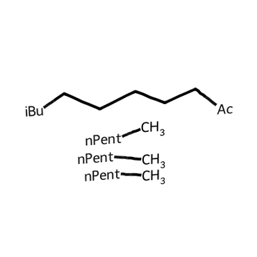 CCC(C)CCCCCC(C)=O.CCCCCC.CCCCCC.CCCCCC